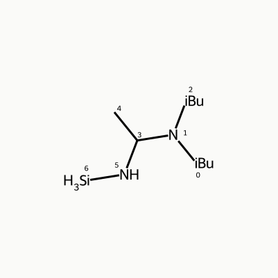 CCC(C)N(C(C)CC)C(C)N[SiH3]